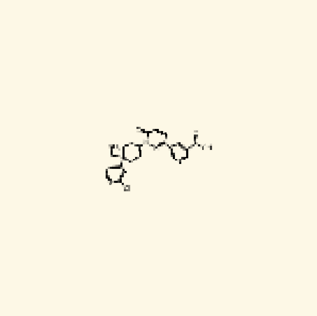 NCC1(c2cccc(Cl)c2)CCC(n2nc(-c3cncc(C(=O)O)c3)ccc2=O)CC1